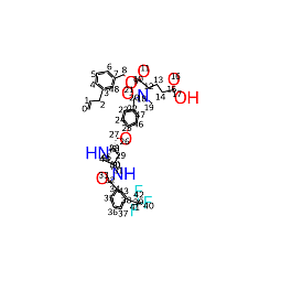 C=CCc1cccc(COC(=O)C(CCC(=O)O)N(C)C(=O)c2ccc(OC[C@@H]3C[C@@H](NC(=O)c4cccc(C(F)(F)F)c4)CN3)cc2)c1